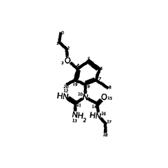 CCCOc1ccc(C)c(N(C(=N)N)C(=O)NCC)c1C